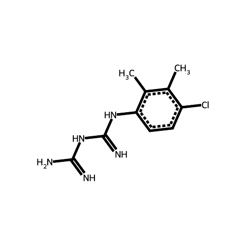 Cc1c(Cl)ccc(NC(=N)NC(=N)N)c1C